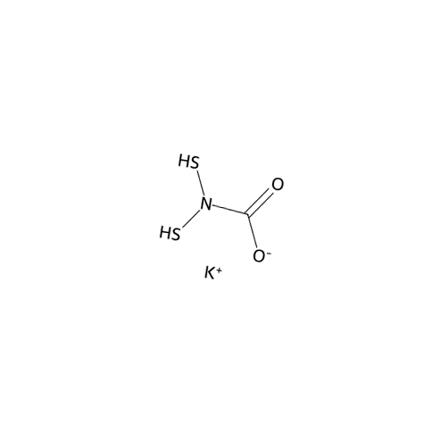 O=C([O-])N(S)S.[K+]